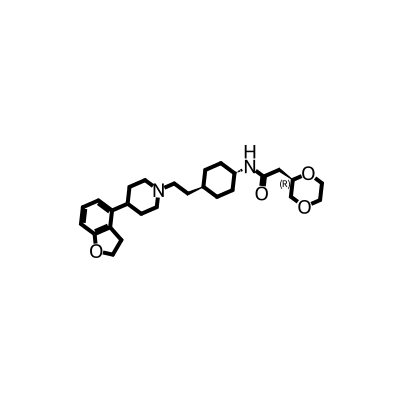 O=C(C[C@@H]1COCCO1)N[C@H]1CC[C@H](CCN2CCC(c3cccc4c3CCO4)CC2)CC1